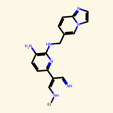 CCN/C=C(\C=N)c1ccc(N)c(NCc2ccc3nccn3c2)n1